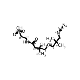 CC(C)(CN=[N+]=[N-])COCC(C)(C)CC(=O)NCCS(=O)(=O)O